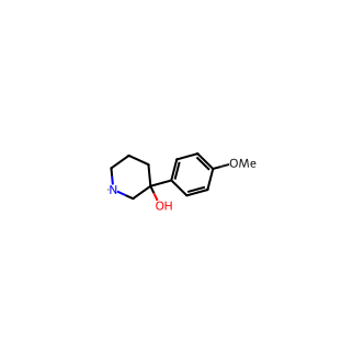 COc1ccc(C2(O)CCC[N]C2)cc1